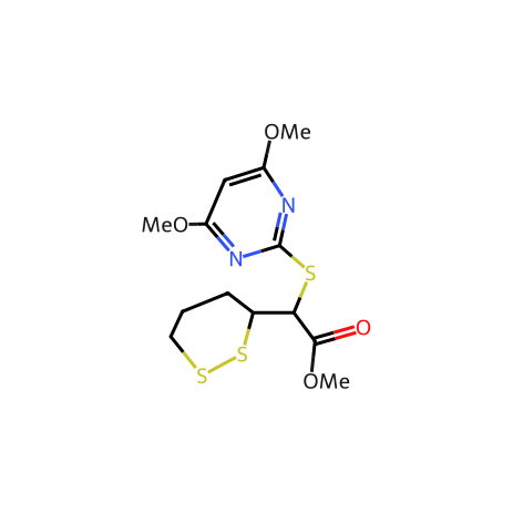 COC(=O)C(Sc1nc(OC)cc(OC)n1)C1CCCSS1